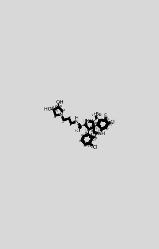 CC(C)(C)C[C@H]1N[C@@H](C(=O)NCCCN2C[C@H](O)[C@@H](O)C2)[C@H](c2cccc(Cl)c2F)[C@@]12C(=O)Nc1cc(Cl)c(F)cc12